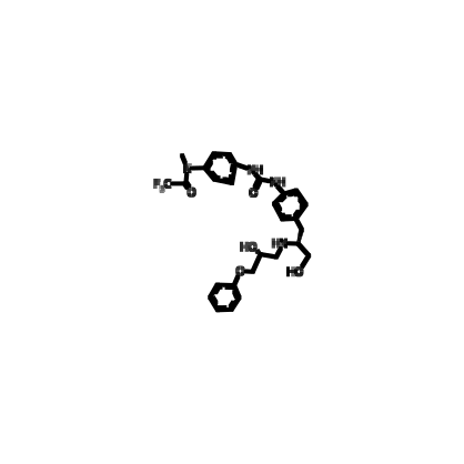 CN(C(=O)C(F)(F)F)c1ccc(NC(=O)Nc2ccc(C[C@@H](CO)NC[C@H](O)COc3ccccc3)cc2)cc1